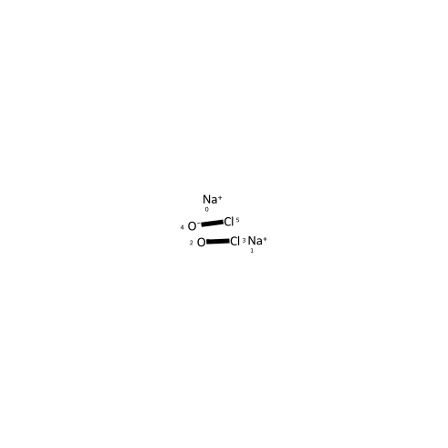 [Na+].[Na+].[O-]Cl.[O-]Cl